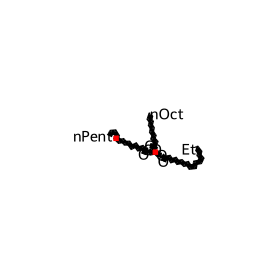 CC/C=C\C/C=C\C/C=C\CCCCCCCC(=O)OCC(COC(=O)CCCCCCC/C=C\C/C=C\CCCCC)OC(=O)CCCCCCC/C=C\CCCCCCCC